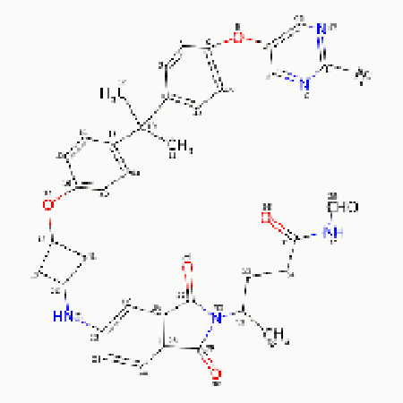 CC(=O)c1ncc(Oc2ccc(C(C)(C)c3ccc(OC4CC(Nc5ccc6c(c5)C(=O)N(C(C)CCC(=O)NC=O)C6=O)C4)cc3)cc2)cn1